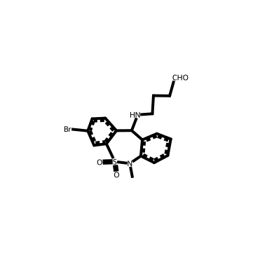 CN1c2ccccc2C(NCCCC=O)c2ccc(Br)cc2S1(=O)=O